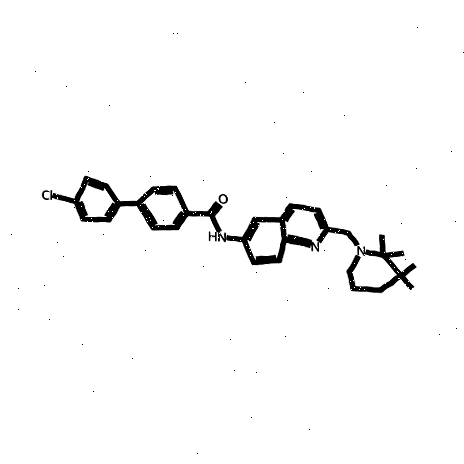 CC1(C)CCCN(Cc2ccc3cc(NC(=O)c4ccc(-c5ccc(Cl)cc5)cc4)ccc3n2)C1(C)C